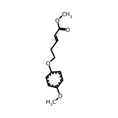 COC(=O)/C=C/CCOc1ccc(OC)cc1